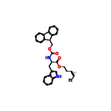 CC/C=C\CCOC(=O)C(Cc1c[nH]c2ccccc12)NC(=O)OCC1c2ccccc2-c2ccccc21